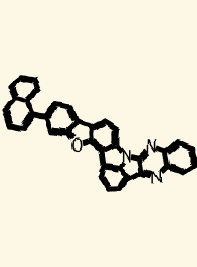 c1ccc2c(-c3ccc4c(c3)oc3c4ccc4c3c3cccc5c6nc7ccccc7nc6n4c53)cccc2c1